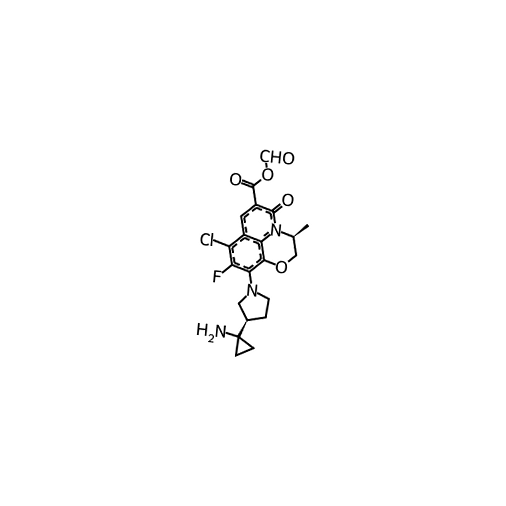 C[C@H]1COc2c(N3CC[C@@H](C4(N)CC4)C3)c(F)c(Cl)c3cc(C(=O)OC=O)c(=O)n1c23